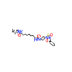 CNC(=O)CCCCCCCCC(=O)Nc1ccc(-n2sc(=O)n(Cc3ccccc3)c2=O)cc1